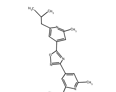 CNc1cc(-c2noc(-c3cc(C)nc(CC(C)C)c3)n2)cc(C)n1